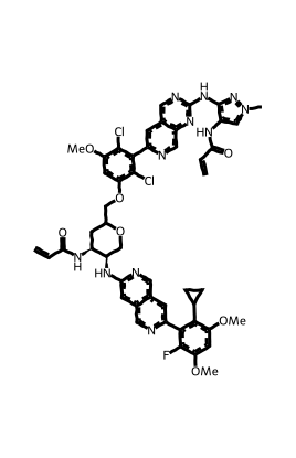 C=CC(=O)Nc1cn(C)nc1Nc1ncc2cc(-c3c(Cl)c(OC)cc(OCC4C[C@H](NC(=O)C=C)[C@H](Nc5cc6cnc(-c7c(F)c(OC)cc(OC)c7C7CC7)cc6cn5)CO4)c3Cl)ncc2n1